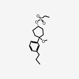 CCCc1cccc([C@]2(OC)CC[C@H](OS(=O)(=O)CC)CC2)c1